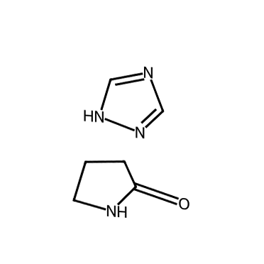 O=C1CCCN1.c1nc[nH]n1